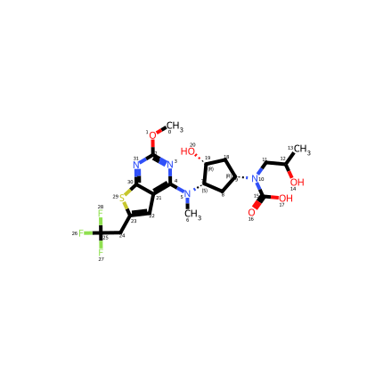 COc1nc(N(C)[C@H]2C[C@@H](N(CC(C)O)C(=O)O)C[C@H]2O)c2cc(CC(F)(F)F)sc2n1